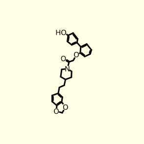 O=C(COc1ccccc1-c1ccc(O)cc1)N1CCC(CCc2ccc3c(c2)OCO3)CC1